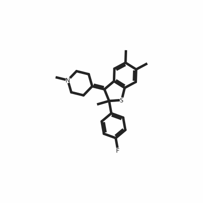 Cc1cc2c(cc1C)C(=C1CCN(C)CC1)C(C)(c1ccc(F)cc1)S2